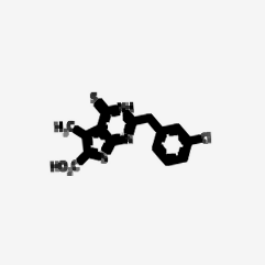 Cc1c(C(=O)O)sc2nc(Cc3cccc(Cl)c3)[nH]c(=S)c12